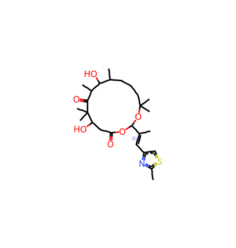 C/C(=C\c1csc(C)n1)C1OC(=O)CC(O)C(C)(C)C(=O)C(C)C(O)C(C)CCCC(C)(C)O1